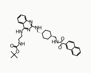 CC(C)(C)OC(=O)NCCNc1nc(NC[C@H]2CC[C@H](CNS(=O)(=O)c3ccc4ccccc4c3)CC2)nc2ccccc12